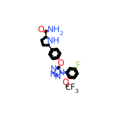 NC(=O)[C@@H]1CC[C@H](c2ccc(Oc3nnnn3-c3cc(F)ccc3OC(F)(F)F)cc2)N1